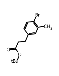 Cc1cc(CCC(=O)OC(C)(C)C)ccc1Br